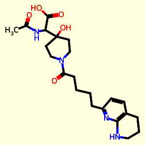 CC(=O)NC(C(=O)O)C1(O)CCN(C(=O)CCCCc2ccc3c(n2)NCCC3)CC1